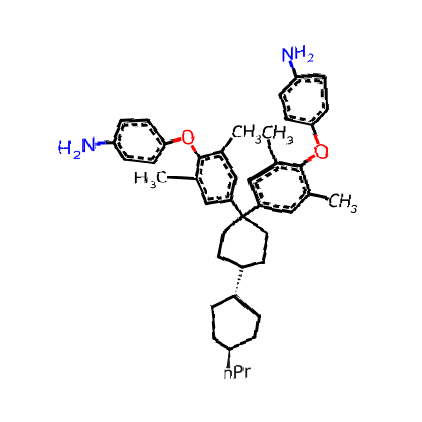 CCC[C@H]1CC[C@H](C2CCC(c3cc(C)c(Oc4ccc(N)cc4)c(C)c3)(c3cc(C)c(Oc4ccc(N)cc4)c(C)c3)CC2)CC1